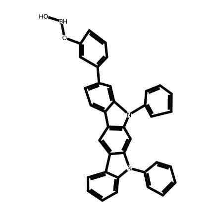 OBOc1cccc(-c2ccc3c4cc5c6ccccc6n(-c6ccccc6)c5cc4n(-c4ccccc4)c3c2)c1